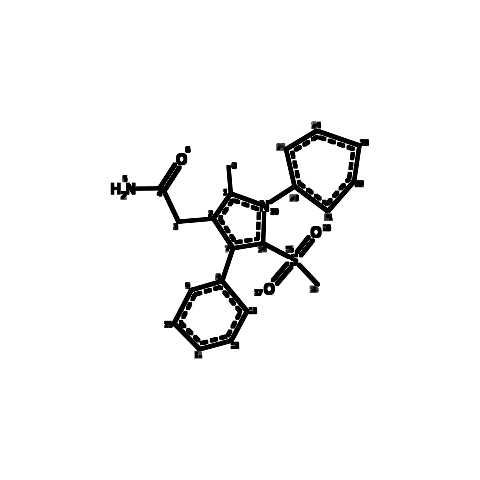 Cc1c(CC(N)=O)c(-c2ccccc2)c(S(C)(=O)=O)n1-c1ccccc1